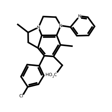 Cc1c(CC(=O)O)c(-c2ccc(Cl)cc2)c2c3c1N(c1ccccn1)CCN3C(C)C2